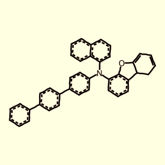 C1=CCC2C(=C1)Oc1c2cccc1N(c1ccc(-c2ccc(-c3ccccc3)cc2)cc1)c1cccc2ccccc12